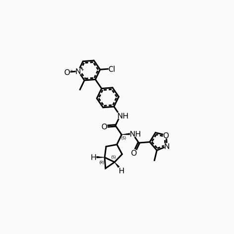 Cc1nocc1C(=O)N[C@H](C(=O)Nc1ccc(-c2c(Cl)cc[n+]([O-])c2C)cc1)C1C[C@@H]2C[C@@H]2C1